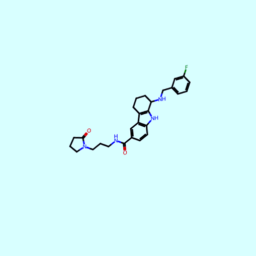 O=C(NCCCN1CCCC1=O)c1ccc2[nH]c3c(c2c1)CCCC3NCc1cccc(F)c1